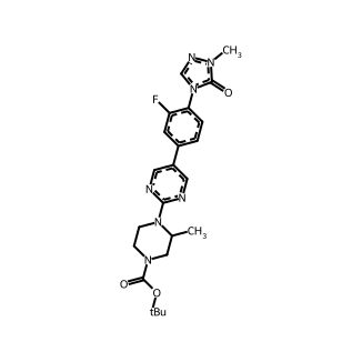 CC1CN(C(=O)OC(C)(C)C)CCN1c1ncc(-c2ccc(-n3cnn(C)c3=O)c(F)c2)cn1